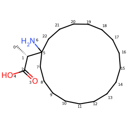 C[C@@H](C(=O)O)C1(N)CCCCCCCCCCCCCCCC1